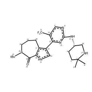 CC1(C)CC[C@H](Nc2ncc(C(F)(F)F)c(-c3c[nH]c4c3CCCN(C(C)(C)C)C4=O)n2)CN1